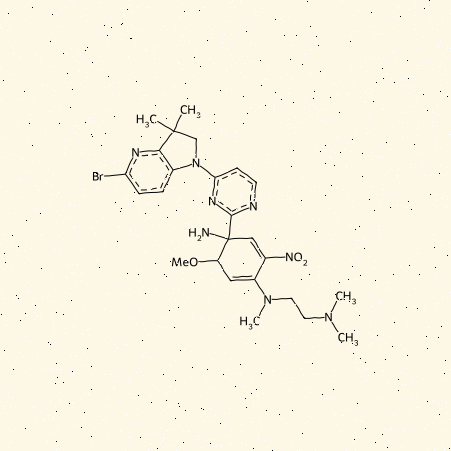 COC1C=C(N(C)CCN(C)C)C([N+](=O)[O-])=CC1(N)c1nccc(N2CC(C)(C)c3nc(Br)ccc32)n1